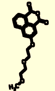 COCCOCCOc1cc2c3c(cccc3c1)C(=O)OC2=O